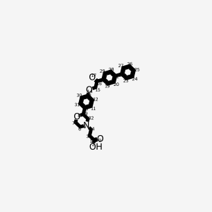 O=C(O)CCN1CCOC(c2ccc(OCC(=O)c3ccc(-c4ccccc4)cc3)cc2)C1